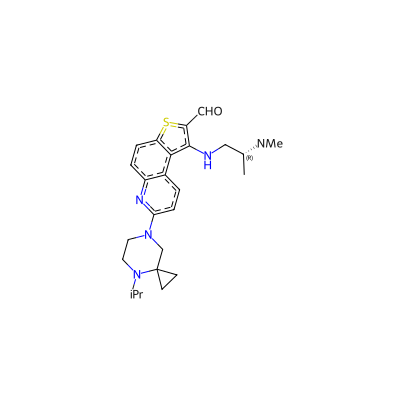 CN[C@H](C)CNc1c(C=O)sc2ccc3nc(N4CCN(C(C)C)C5(CC5)C4)ccc3c12